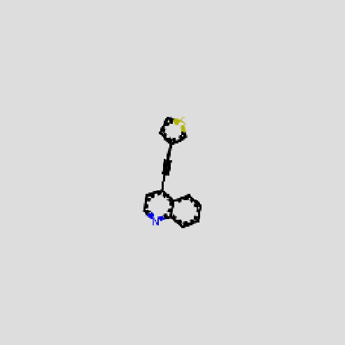 C(#Cc1ccnc2ccccc12)c1ccsc1